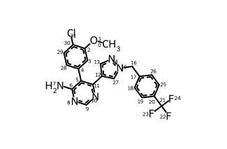 COc1cc(-c2c(N)ncnc2-c2cnn(Cc3ccc(C(F)(F)F)cc3)c2)ccc1Cl